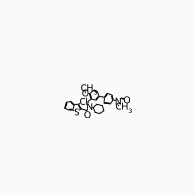 COc1ccc(-c2ccc(N(C)C=O)cc2)cc1CN(C(=O)c1sc2ccccc2c1Cl)C1CCCCC1